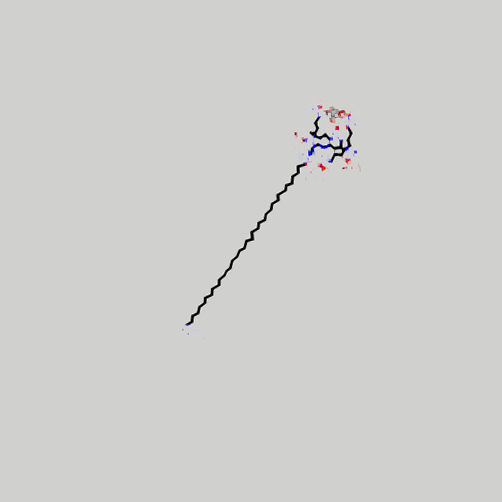 CN(C(=O)OC(C)(C)C)C(CCCCNC(=O)OC(C)(C)C)(CCCNC(=O)OC(C)(C)C)C(CCCCCCNC(=O)CCCCCCCCCCCCCCCCCCCCCCCCCCCCCCCCCCCN)CN(CCCC(C)(CCCNC(=O)OC(C)(C)C)NC(=O)OC(C)(C)C)C(=O)OC(C)(C)C